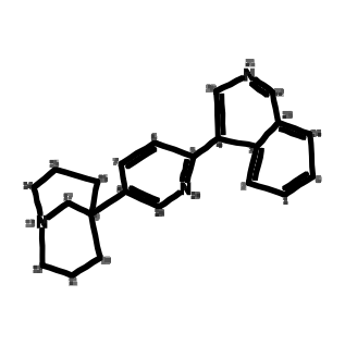 c1ccc2c(-c3ccc(C45CCCN(CCC4)C5)cn3)cncc2c1